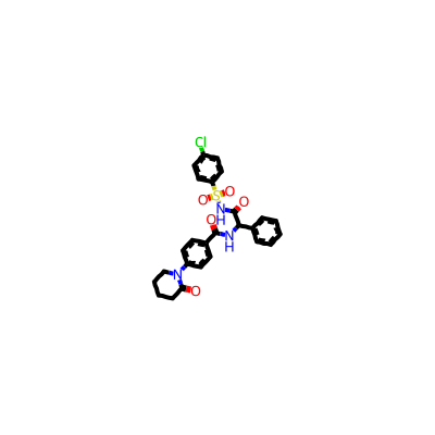 O=C(NC(C(=O)NS(=O)(=O)c1ccc(Cl)cc1)c1ccccc1)c1ccc(N2CCCCC2=O)cc1